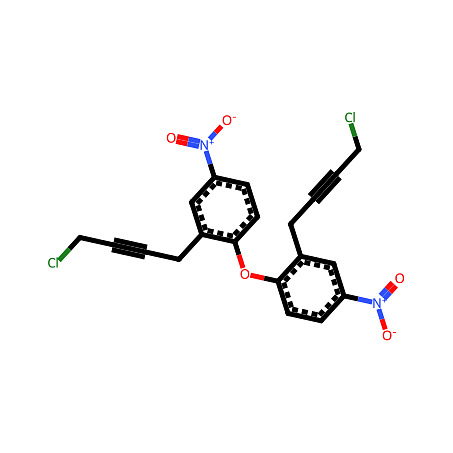 O=[N+]([O-])c1ccc(Oc2ccc([N+](=O)[O-])cc2CC#CCCl)c(CC#CCCl)c1